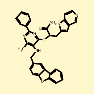 Cc1nc(-c2ccccc2)nc(OC(Cc2cc3cnccc3[nH]2)C(N)=O)c1NCc1ccc2oc3ccccc3c2c1